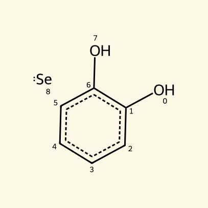 Oc1ccccc1O.[Se]